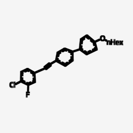 CCCCCCOc1ccc(-c2ccc(C#Cc3ccc(Cl)c(F)c3)cc2)cc1